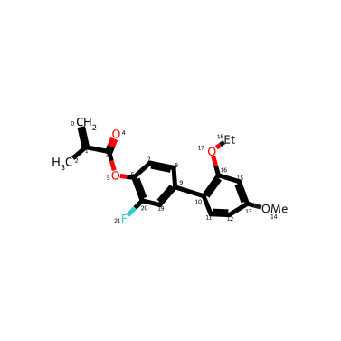 C=C(C)C(=O)Oc1ccc(-c2ccc(OC)cc2OCC)cc1F